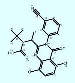 CC(c1nc2c(Cl)ccc(Cl)c2c(=O)n1-c1cccc(C#N)c1)N(C(=O)O)C(C)(C)C